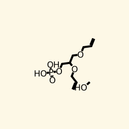 C=CCOCC(COP(=O)(O)O)OCC=C.CO